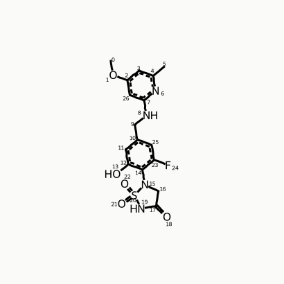 COc1cc(C)nc(NCc2cc(O)c(N3CC(=O)NS3(=O)=O)c(F)c2)c1